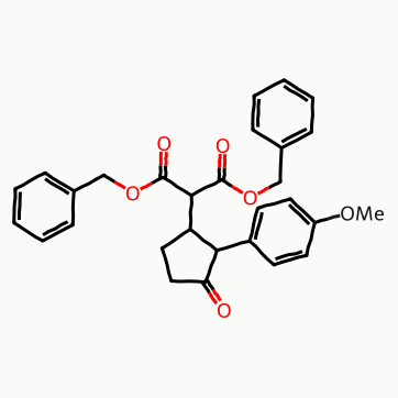 COc1ccc(C2C(=O)CCC2C(C(=O)OCc2ccccc2)C(=O)OCc2ccccc2)cc1